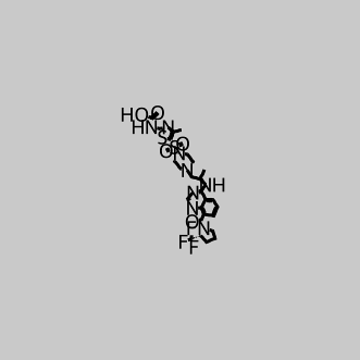 Cc1nc(NC(=O)O)sc1S(=O)(=O)N1CCN(CC(C)Nc2ncnc3c(C(=O)N4CCC[C@@H]4C(F)(F)F)cccc23)CC1